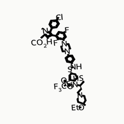 CCOC1(C)CCN(CC[C@H](CS)NC2CCC(SNc3ccc(N4CCN(c5cc(F)cc(-c6c(C(=O)O)c(C)n(C)c6-c6ccc(Cl)cc6)c5F)CC4)cc3)C=C2S(=O)(=O)C(F)(F)F)CC1